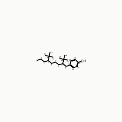 CCCC(CCCC(Cc1ccc(O)cc1)C(C)(C)C)C(C)(C)C